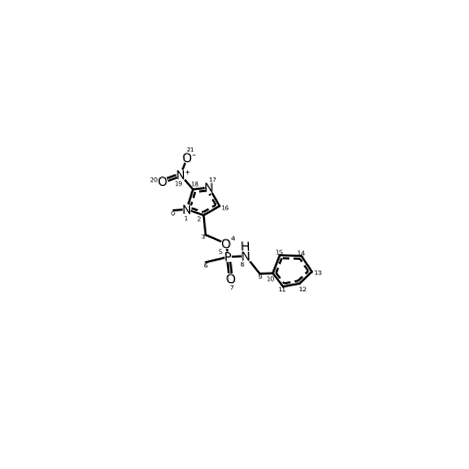 Cn1c(COP(C)(=O)NCc2ccccc2)cnc1[N+](=O)[O-]